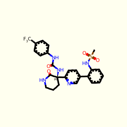 CS(=O)(=O)Nc1ccccc1-c1ccc([C@]2(NC(=O)Nc3ccc(C(F)(F)F)cc3)CCCNC2=O)nc1